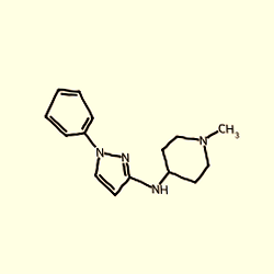 CN1CCC(Nc2ccn(-c3ccccc3)n2)CC1